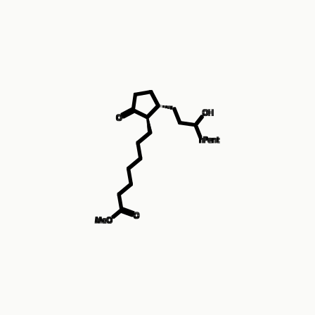 CCCCCC(O)CC[C@H]1CCC(=O)[C@@H]1CCCCCCC(=O)OC